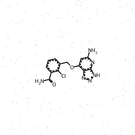 NC(=O)c1cccc(COc2cc(N)nc3[nH]nnc23)c1Cl